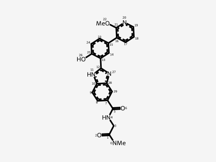 CNC(=O)CNC(=O)c1ccc2[nH]c(-c3cc(-c4cccnc4OC)ccc3O)nc2c1